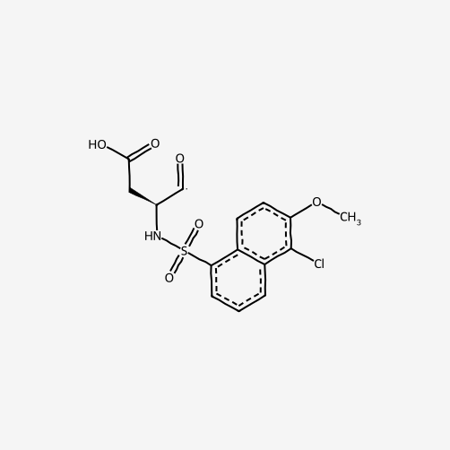 COc1ccc2c(S(=O)(=O)N[C@H]([C]=O)CC(=O)O)cccc2c1Cl